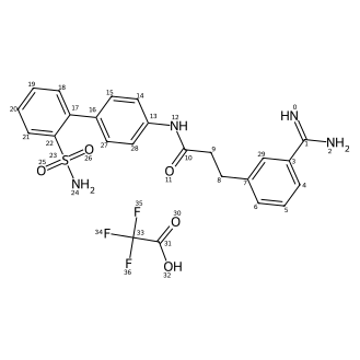 N=C(N)c1cccc(CCC(=O)Nc2ccc(-c3ccccc3S(N)(=O)=O)cc2)c1.O=C(O)C(F)(F)F